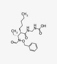 CCCCC[C@@H](C(=O)NCNC(=O)O)[C@@H](CC)N(C=O)OCc1ccccc1